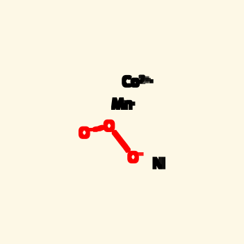 [Co+2].[Mn].[Ni].[O-]O[O-]